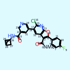 CNC(=O)c1c(-c2ccc(F)cc2)oc2nc(Cl)c(-c3cncc(C(=O)NC45CC(C4)C5)c3)cc12